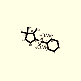 CO[Si](OC)(C1CCCCC1)C1CCC(C)(C)C1C